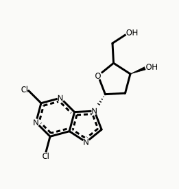 OCC1O[C@@H](n2cnc3c(Cl)nc(Cl)nc32)C[C@@H]1O